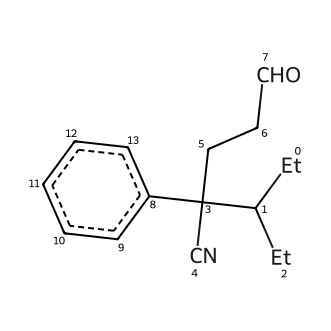 CCC(CC)C(C#N)(CCC=O)c1ccccc1